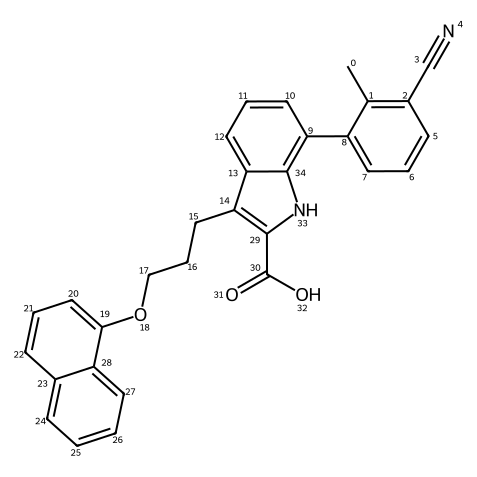 Cc1c(C#N)cccc1-c1cccc2c(CCCOc3cccc4ccccc34)c(C(=O)O)[nH]c12